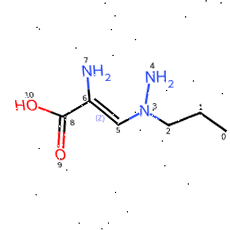 CCCN(N)/C=C(\N)C(=O)O